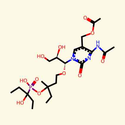 CCC(C)(CCO[C@H]([C@H](O)CO)n1cc(COC(C)=O)c(NC(C)=O)nc1=O)OP(=O)(O)C(O)(CC)CC